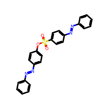 O=S(=O)(Oc1ccc(/N=N/c2ccccc2)cc1)c1ccc(/N=N/c2ccccc2)cc1